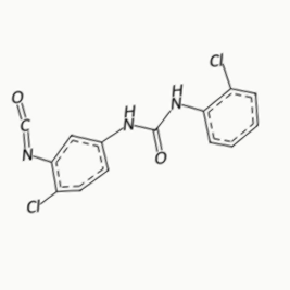 O=C=Nc1cc(NC(=O)Nc2ccccc2Cl)ccc1Cl